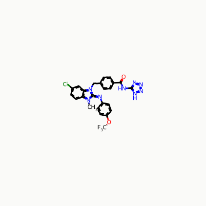 Cn1c(=Nc2ccc(OC(F)(F)F)cc2)n(Cc2ccc(C(=O)Nc3nnn[nH]3)cc2)c2cc(Cl)ccc21